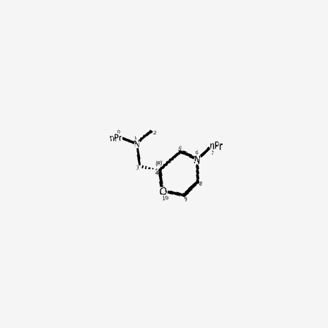 CCCN(C)C[C@@H]1CN(CCC)CCO1